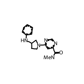 CNC(=O)c1cc(N2CCC(Nc3ccccc3)C2)ncn1